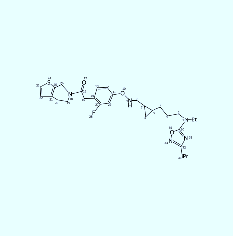 CCN(CCCC1CC1CNOc1ccc(CC(=O)N2CCc3ccsc3C2)c(F)c1)c1nc(C(C)C)no1